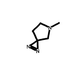 CN1CCC2(C1)N=N2